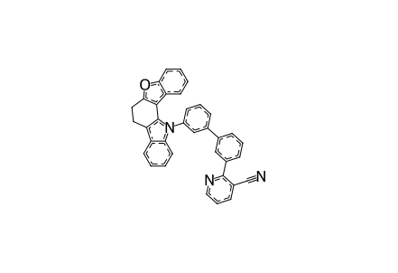 N#Cc1cccnc1-c1cccc(-c2cccc(-n3c4c(c5ccccc53)CCc3oc5ccccc5c3-4)c2)c1